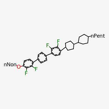 CCCCCCCCCOc1ccc(-c2ccc(-c3ccc(C4CCC(C5CCC(CCCCC)CC5)CC4)c(F)c3F)cc2)c(F)c1F